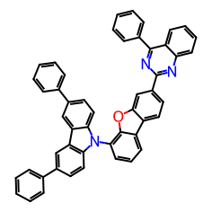 c1ccc(-c2ccc3c(c2)c2cc(-c4ccccc4)ccc2n3-c2cccc3c2oc2cc(-c4nc(-c5ccccc5)c5ccccc5n4)ccc23)cc1